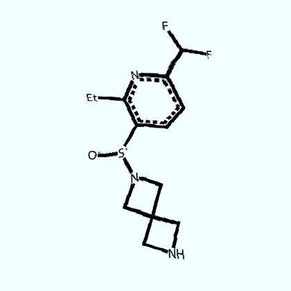 CCc1nc(C(F)F)ccc1[S+]([O-])N1CC2(CNC2)C1